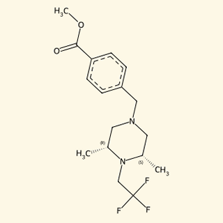 COC(=O)c1ccc(CN2C[C@@H](C)N(CC(F)(F)F)[C@@H](C)C2)cc1